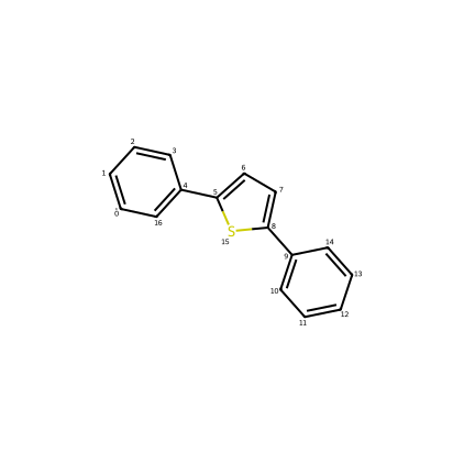 [c]1cccc(-c2ccc(-c3ccccc3)s2)c1